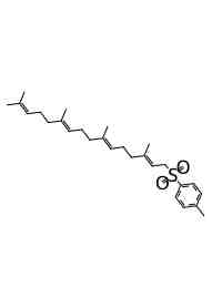 CC(C)=CCC/C(C)=C/CC/C(C)=C/CC/C(C)=C/CS(=O)(=O)c1ccc(C)cc1